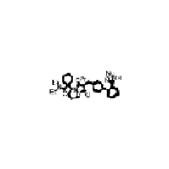 CCCc1c(Cc2ccc(-c3ccccc3-c3nnn[nH]3)cc2)c(=O)n2n1C(C1(C(=O)N(CC)CC)CCCCC1)CCC2